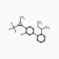 CCC(C)c1ccccc1-c1ccc(C2=C(C(F)(F)F)C2C)c(F)c1